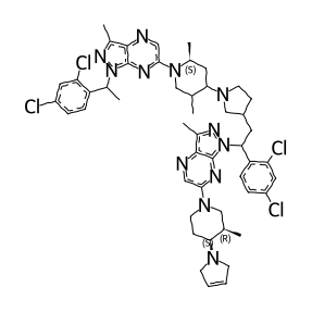 Cc1nn(C(C)c2ccc(Cl)cc2Cl)c2nc(N3CC(C)C(N4CCC(CC(c5ccc(Cl)cc5Cl)n5nc(C)c6ncc(N7CC[C@H](N8CC=CC8)[C@H](C)C7)nc65)C4)C[C@@H]3C)cnc12